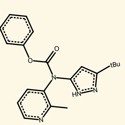 Cc1ncccc1N(C(=O)Oc1ccccc1)c1cc(C(C)(C)C)n[nH]1